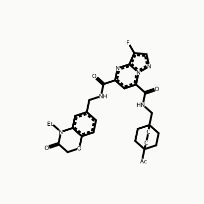 CCN1C(=O)COc2ccc(CNC(=O)c3cc(C(=O)NCC45CCC(C(C)=O)(CC4)CC5)n4ncc(F)c4n3)cc21